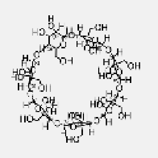 OCC1O[C@@H]2O[C@@H]3C(CO)O[C@H](O[C@@H]4C(CO)O[C@H](O[C@@H]5C(CO)O[C@H](O[C@@H]6C(CO)O[C@H](O[C@@H]7C(CO)O[C@H](O[C@@H]8C(CO)O[C@H](O[C@H]1C(O)[C@@H]2O)C(O)[C@H]8O)C(O)[C@H]7O)C(O)[C@H]6O)C(O)[C@H]5O)C(O)[C@H]4O)[C@@H](O)C3O